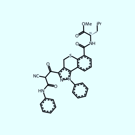 COC(=O)[C@H](CC(C)C)NC(=O)c1cccc2c1SCc1c(C(=O)C(C#N)C(=O)Nc3ccccc3)nn(-c3ccccc3)c1-2